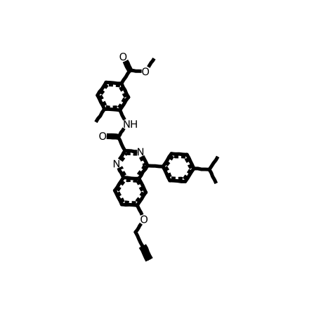 C#CCOc1ccc2nc(C(=O)Nc3cc(C(=O)OC)ccc3C)nc(-c3ccc(C(C)C)cc3)c2c1